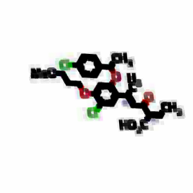 C/C=C(/C(=O)O)C(=O)/C=C(\C)c1cc(Cl)c(OCCCOC)cc1OC(C)c1ccc(Cl)cc1